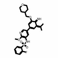 COc1ncc(C2=CC(=C(C)C)C(=N)C(OCC3CCOCC3)=C2)cc1NS(=O)(=O)c1ccccc1F